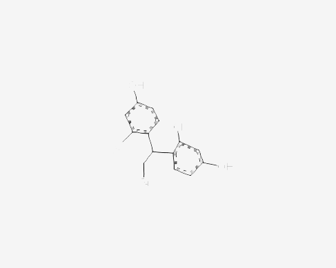 Cc1cc(O)ccc1C(CBr)c1ccc(O)cc1C